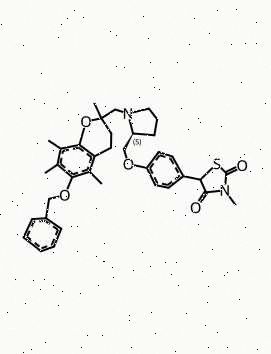 Cc1c(C)c2c(c(C)c1OCc1ccccc1)CCC(C)(CN1CCC[C@H]1COc1ccc(C3SC(=O)N(C)C3=O)cc1)O2